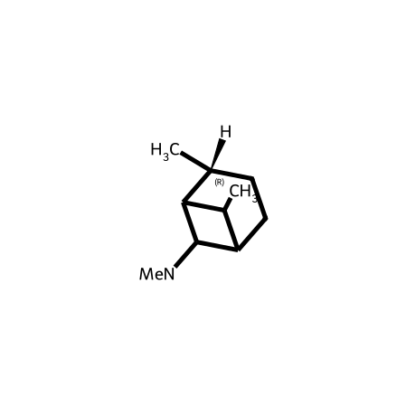 CNC1C2CC[C@@H](C)C1C2C